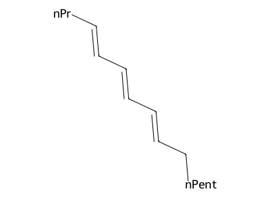 [CH2]CCC=CC=CC=CCCCCC[CH2]